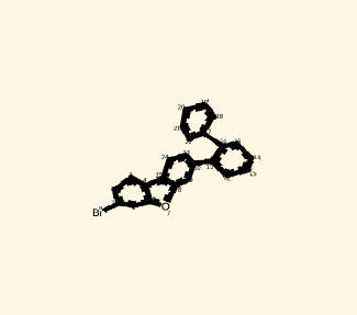 Brc1ccc2c(c1)oc1cc(-c3ccccc3-c3ccccc3)ccc12